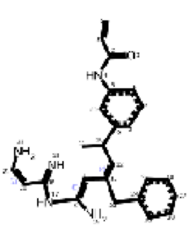 C=CC(=O)Nc1cccc(C(C)/C=C(\C=C(/N)NC(=N)/C=C\N)Cc2ccccc2)c1